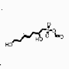 O=COS(=O)(=O)CC(O)CC=CCCO